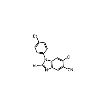 [CH2]Cc1ccc(-n2c(CC)nc3cc(C#N)c(Cl)cc32)cc1